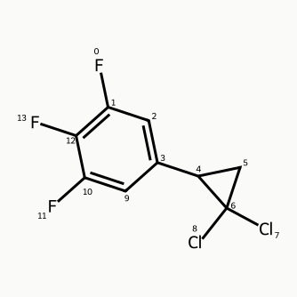 Fc1cc(C2CC2(Cl)Cl)cc(F)c1F